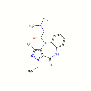 CCn1nc(C)c2c1C(=O)Nc1ccccc1N2C(=O)CN(C)C